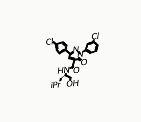 CC(C)C[C@@H](CO)NC(=O)c1cc(-c2ccc(Cl)cc2)nn(-c2cccc(Cl)c2)c1=O